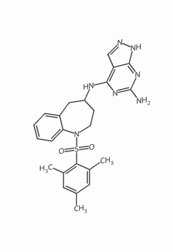 Cc1cc(C)c(S(=O)(=O)N2CCC(Nc3nc(N)nc4[nH]ncc34)Cc3ccccc32)c(C)c1